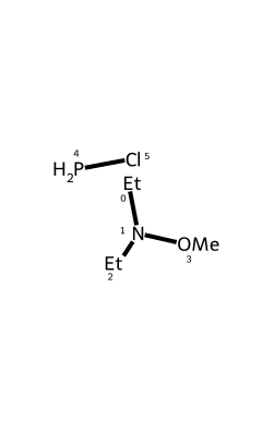 CCN(CC)OC.PCl